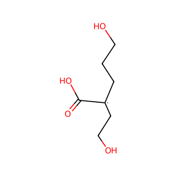 O=C(O)[C](CCO)CCCO